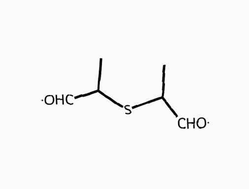 CC([C]=O)SC(C)[C]=O